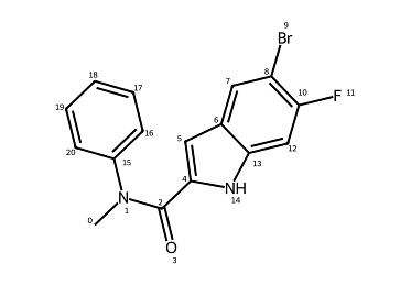 CN(C(=O)c1cc2cc(Br)c(F)cc2[nH]1)c1ccccc1